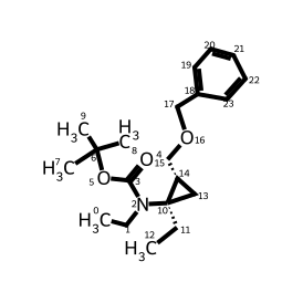 CCN(C(=O)OC(C)(C)C)[C@]1(CC)C[C@H]1COCc1ccccc1